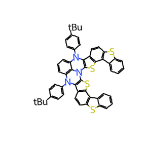 CC(C)(C)c1ccc(N2c3cccc4c3N(c3sc5c(ccc6sc7ccccc7c65)c32)c2sc3c(ccc5sc6ccccc6c53)c2N4c2ccc(C(C)(C)C)cc2)cc1